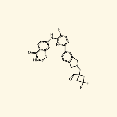 O=CC1(CN2Cc3ccc(-c4ncc(F)c(Nc5ccc6c(=O)[nH]cnc6c5)n4)cc3C2)CC(F)(F)C1